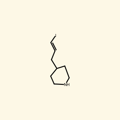 IC=CCC1CCNCC1